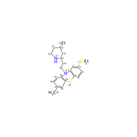 CCSc1ccc2c(c1)N(CCC1CC(CC)CCN1)c1ccc(C)cc1S2